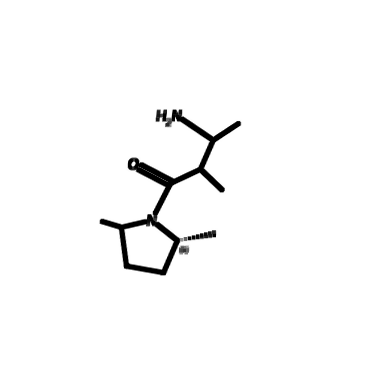 CC(N)C(C)C(=O)N1C(C)CC[C@H]1C